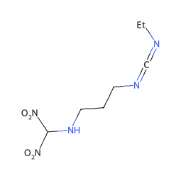 CCN=C=NCCCNC([N+](=O)[O-])[N+](=O)[O-]